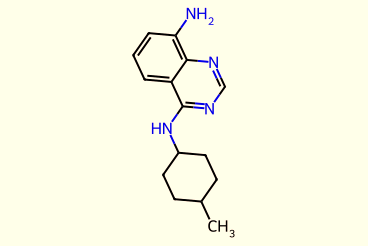 CC1CCC(Nc2ncnc3c(N)cccc23)CC1